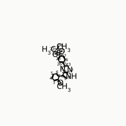 COc1ccccc1-c1c[nH]c2ncc(-c3ccc(S(=O)(=O)C(C)C)cc3)nc12